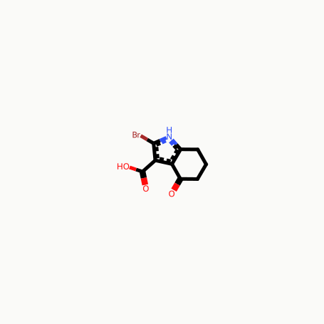 O=C(O)c1c(Br)[nH]c2c1C(=O)CCC2